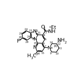 CCNC(=O)c1cc2c(N3CCC[C@@H](N)C3)cc(C)nc2n2c1nc1ccc(F)cc12